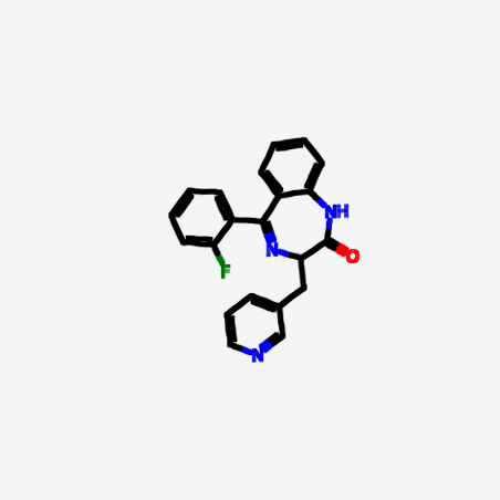 O=C1Nc2ccccc2C(c2ccccc2F)=NC1Cc1cccnc1